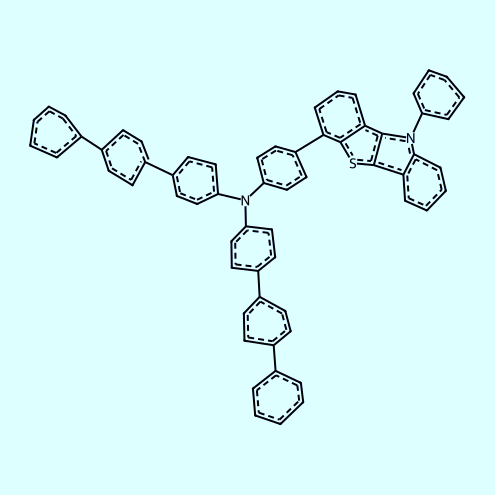 c1ccc(-c2ccc(-c3ccc(N(c4ccc(-c5ccc(-c6ccccc6)cc5)cc4)c4ccc(-c5cccc6c5sc5c7ccccc7n(-c7ccccc7)c65)cc4)cc3)cc2)cc1